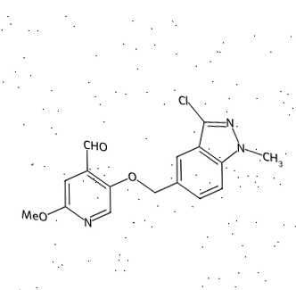 COc1cc(C=O)c(OCc2ccc3c(c2)c(Cl)nn3C)cn1